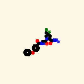 NC(=O)C1CC(F)(CF)CN1C(=O)CNC(=O)c1ccc(Oc2ccccc2)cc1